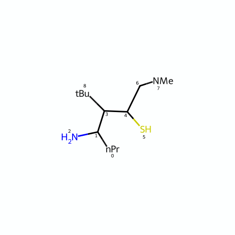 CCCC(N)C(C(S)CNC)C(C)(C)C